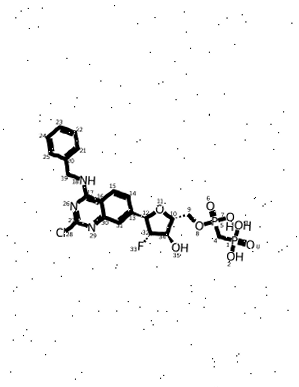 O=P(O)(O)CP(=O)(O)OC[C@H]1O[C@H](c2ccc3c(NCc4ccccc4)nc(Cl)nc3c2)[C@@H](F)[C@@H]1O